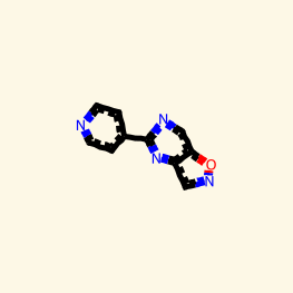 c1cc(-c2ncc3oncc3n2)ccn1